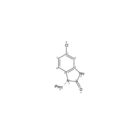 CCC[C@@H](C)n1c(=O)[nH]c2cc(Cl)ccc21